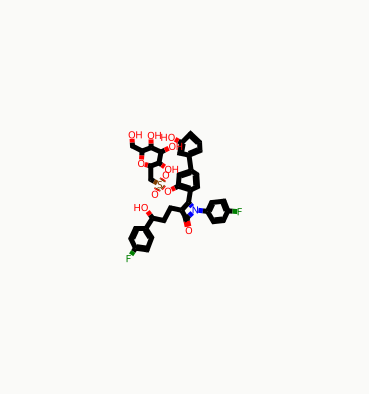 O=C1C(CCC(O)c2ccc(F)cc2)C(c2ccc(-c3cccc(O)c3)cc2OS(=O)(=O)CC2OC(CO)C(O)C(O)C2O)N1c1ccc(F)cc1